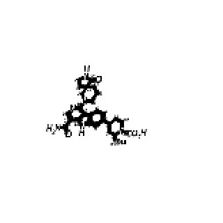 CC(C)(C)C1CC(c2ccc3c(c2)[nH]c2c(C(N)=O)cnc(N4CCCC5(CCNC5=O)C4)c23)CCN1C(=O)O